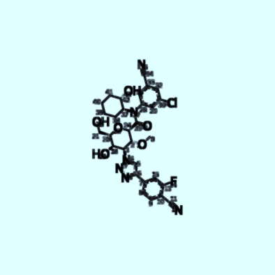 CO[C@@H]1[C@@H](n2cc(-c3ccc(C#N)c(F)c3)nn2)[C@@H](O)[C@@H](CO)O[C@H]1C(=O)N(c1cc(Cl)cc(C#N)c1)[C@H]1CCCC[C@@H]1O